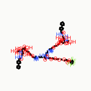 O=C(Cc1ccc(-c2ccccc2)cc1)NC[C@@H](O)[C@@H](O)[C@@H]1O[C@@](OCCOCCOCc2cn(CCCC[C@H](NC(=O)CCCn3cc(COCCOCCO[C@]4(C(=O)O)C[C@H](O)[C@@H](NC(=O)CO)[C@H]([C@H](O)[C@H](O)CNC(=O)Cc5ccc(-c6ccccc6)cc5)O4)nn3)C(=O)NCCOCCOCCOCCOCCC(=O)Oc3c(F)c(F)c(F)c(F)c3F)nn2)(C(=O)O)C[C@H](O)[C@H]1NC(=O)CO